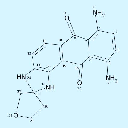 Nc1ccc(N)c2c1C(=O)c1ccc3c(c1C2=O)NC1(CCOC1)N3